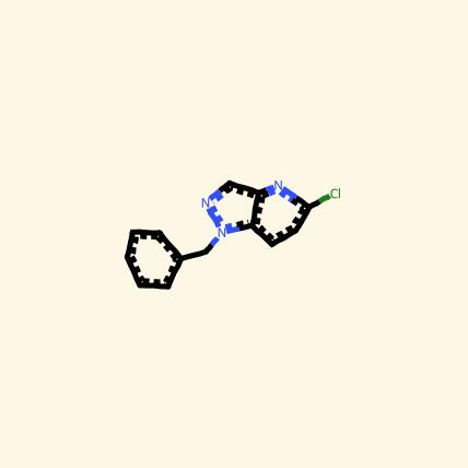 Clc1ccc2c(cnn2Cc2ccccc2)n1